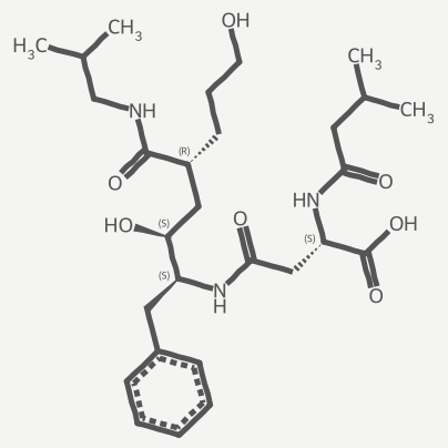 CC(C)CNC(=O)[C@H](CCCO)C[C@H](O)[C@H](Cc1ccccc1)NC(=O)C[C@H](NC(=O)CC(C)C)C(=O)O